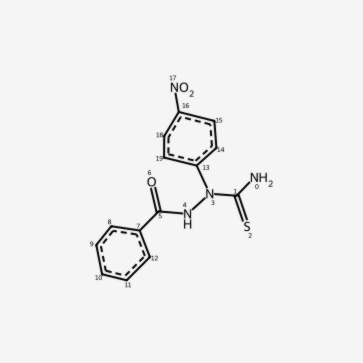 NC(=S)N(NC(=O)c1ccccc1)c1ccc([N+](=O)[O-])cc1